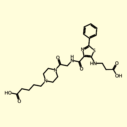 O=C(O)CCCCN1CCN(C(=O)CNC(=O)c2nc(-c3ccccc3)sc2NCCC(=O)O)CC1